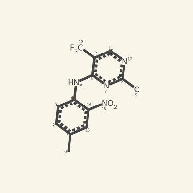 Cc1ccc(Nc2nc(Cl)ncc2C(F)(F)F)c([N+](=O)[O-])c1